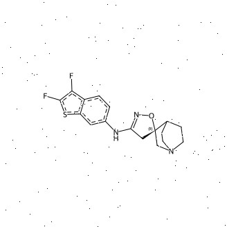 Fc1sc2cc(NC3=NO[C@@]4(C3)CN3CCC4CC3)ccc2c1F